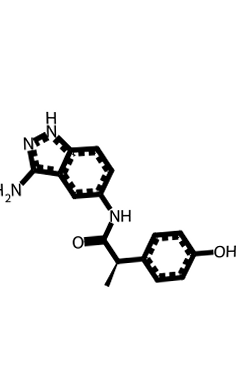 C[C@@H](C(=O)Nc1ccc2[nH]nc(N)c2c1)c1ccc(O)cc1